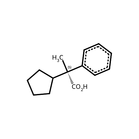 C[C@@](C(=O)O)(c1ccccc1)C1CCCC1